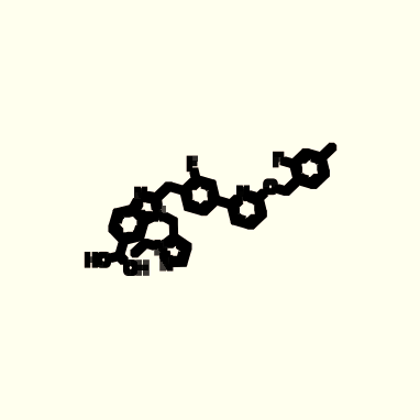 CCn1nccc1Cn1c(Cc2ccc(-c3cccc(OCc4ccc(C)cc4F)n3)cc2F)nc2ccc(C(O)O)cc21